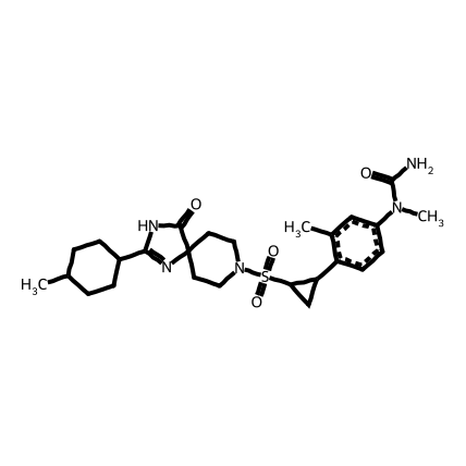 Cc1cc(N(C)C(N)=O)ccc1C1CC1S(=O)(=O)N1CCC2(CC1)N=C(C1CCC(C)CC1)NC2=O